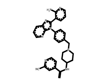 C=C(NC1CCN(Cc2ccc(-n3c(-c4cccnc4N)nc4cccnc43)cc2)CC1)c1ccnc(C#N)c1